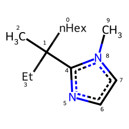 CCCCCCC(C)(CC)c1nccn1C